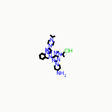 CC(C)N1CCN(c2ccn(-c3ccccc3CNc3nc(N4CCC(N)CC4)nc4c3ncn4C(C)C)n2)CC1.Cl